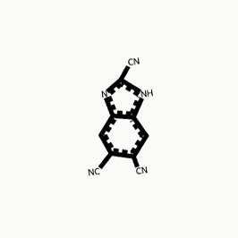 N#Cc1nc2cc(C#N)c(C#N)cc2[nH]1